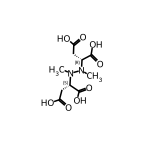 CN([C@H](CC(=O)O)C(=O)O)N(C)[C@@H](CC(=O)O)C(=O)O